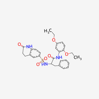 CCOc1ccc(OCC)c(NC(=O)C(Cc2ccccc2)NS(=O)(=O)c2ccc3c(c2)CCC(=O)N3)c1